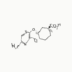 Cc1cnc(O[C@H]2CCC[C@H](C(=O)O)C2)c(Cl)n1